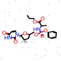 CCCOC(=O)C(C)NP(=O)(OCC1C[C@H](C)[C@H](n2ccc(=O)[nH]c2=O)O1)Oc1ccccc1